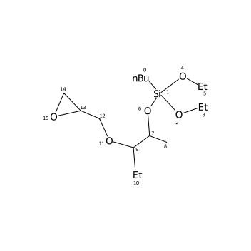 CCCC[Si](OCC)(OCC)OC(C)C(CC)OCC1CO1